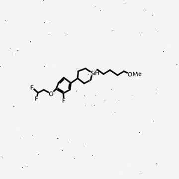 COCCCCC[SiH]1CCC(c2ccc(OCC(F)F)c(F)c2)CC1